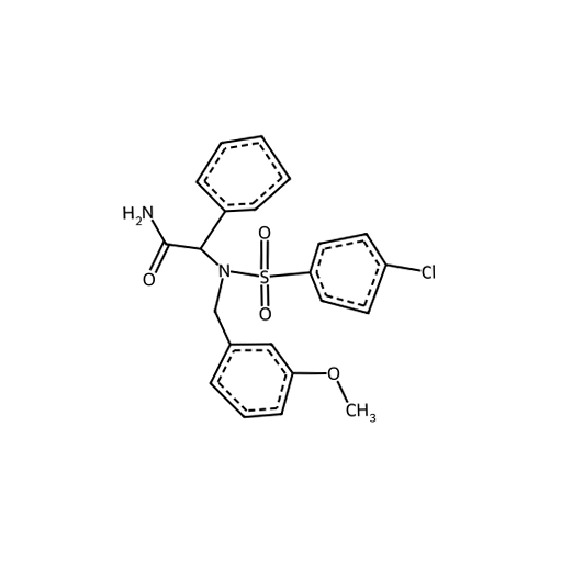 COc1cccc(CN(C(C(N)=O)c2ccccc2)S(=O)(=O)c2ccc(Cl)cc2)c1